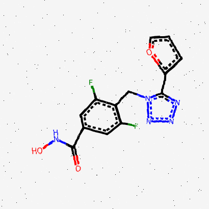 O=C(NO)c1cc(F)c(Cn2nnnc2-c2ccco2)c(F)c1